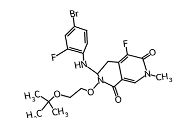 Cn1cc2c(c(F)c1=O)CC(Nc1ccc(Br)cc1F)N(OCCOC(C)(C)C)C2=O